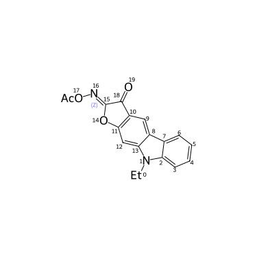 CCn1c2ccccc2c2cc3c(cc21)O/C(=N\OC(C)=O)C3=O